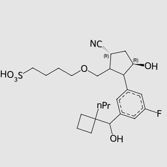 CCCC1(C(O)c2cc(F)cc(C3C(COCCCCS(=O)(=O)O)[C@H](C#N)C[C@H]3O)c2)CCC1